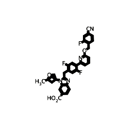 CC12CC(n3c(Cc4cc(F)c(-c5cccc(OCc6ccc(C#N)cc6F)n5)cc4F)nc4ccc(C(=O)O)cc43)(CO1)C2